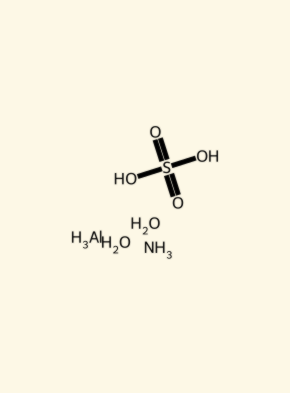 N.O.O.O=S(=O)(O)O.[AlH3]